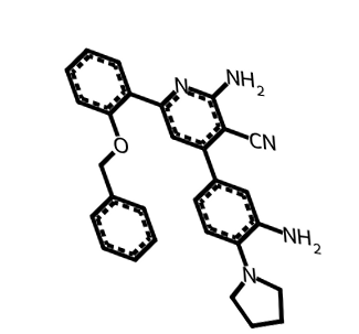 N#Cc1c(-c2ccc(N3CCCC3)c(N)c2)cc(-c2ccccc2OCc2ccccc2)nc1N